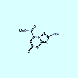 CCCCc1nn2c(C(=O)OC)cc(=O)nc2s1